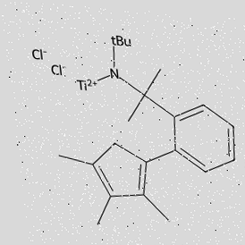 CC1=C(C)C(C)=C(c2ccccc2C(C)(C)[N]([Ti+2])C(C)(C)C)C1.[Cl-].[Cl-]